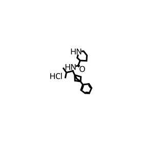 CC(C)C(NC(=O)C1CCCNC1)C12CC(c3ccccc3)(C1)C2.Cl